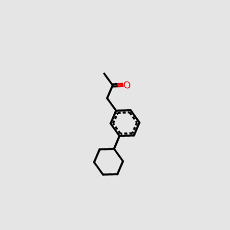 CC(=O)Cc1cccc(C2CCCCC2)c1